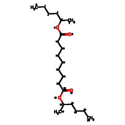 CCCCC(C)OC(=O)CCCCCCCC(=O)OC(C)CCCC